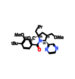 COC[C@@H]1C[C@@](CC(C)C)(C(=O)O)N(C(=O)c2ccc(C(C)(C)C)c(OC)c2)[C@H]1c1cnccn1